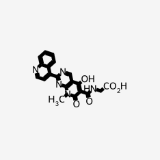 Cn1c(=O)c(C(=O)NCC(=O)O)c(O)c2cnc(-c3ccnc4ccccc34)nc21